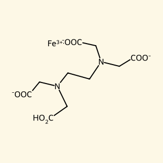 O=C([O-])CN(CCN(CC(=O)[O-])CC(=O)O)CC(=O)[O-].[Fe+3]